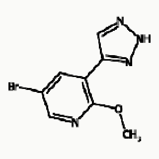 COc1ncc(Br)cc1-c1cn[nH]n1